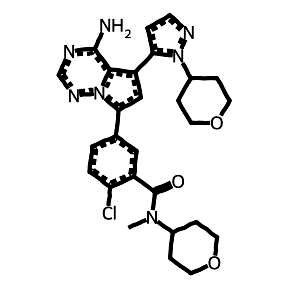 CN(C(=O)c1cc(-c2cc(-c3ccnn3C3CCOCC3)c3c(N)ncnn23)ccc1Cl)C1CCOCC1